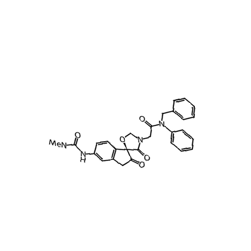 CNC(=O)Nc1ccc2c(c1)CC(=O)[C@]21OCN(CC(=O)N(Cc2ccccc2)c2ccccc2)C1=O